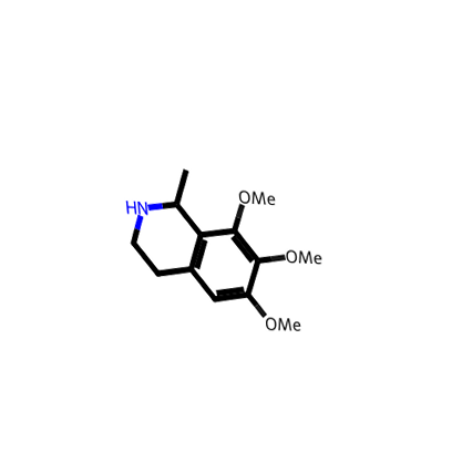 COc1cc2c(c(OC)c1OC)C(C)NCC2